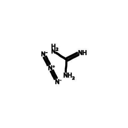 N=C(N)N.[N-]=[N+]=[N-]